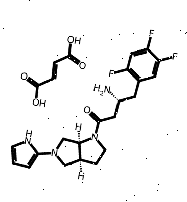 N[C@@H](CC(=O)N1CC[C@H]2CN(c3ccc[nH]3)C[C@H]21)Cc1cc(F)c(F)cc1F.O=C(O)C=CC(=O)O